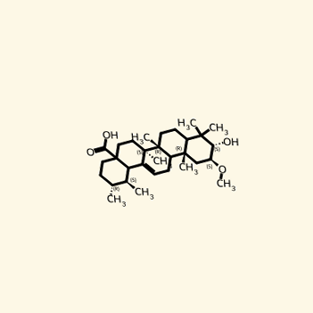 CO[C@H]1C[C@@]2(C)C(CC[C@]3(C)C2CC=C2C4[C@@H](C)[C@H](C)CCC4(C(=O)O)CC[C@]23C)C(C)(C)[C@@H]1O